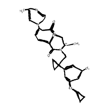 Cc1cn(-c2ccc3n(c2=O)C[C@@H](C)N(CC2(c4cc(OC5CC5)cc(C(F)(F)F)c4)CC2)C3=O)cn1